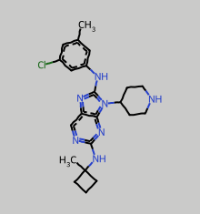 Cc1cc(Cl)cc(Nc2nc3cnc(NC4(C)CCC4)nc3n2C2CCNCC2)c1